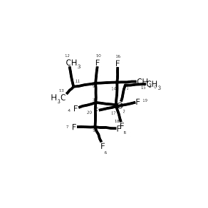 CCOC(F)(C(F)(F)F)C(F)(C(C)C)C(C)(F)C(F)(F)F